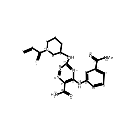 C=CC(=O)N1CCCC(Nc2nnc(C(N)=O)c(Nc3cccc(C(=O)NC)c3)n2)C1